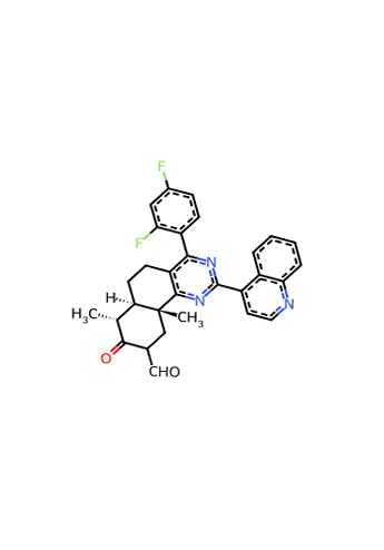 C[C@H]1C(=O)C(C=O)C[C@@]2(C)c3nc(-c4ccnc5ccccc45)nc(-c4ccc(F)cc4F)c3CC[C@H]12